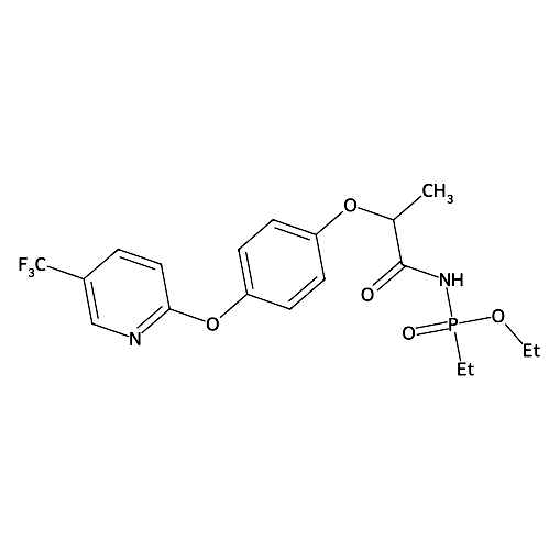 CCOP(=O)(CC)NC(=O)C(C)Oc1ccc(Oc2ccc(C(F)(F)F)cn2)cc1